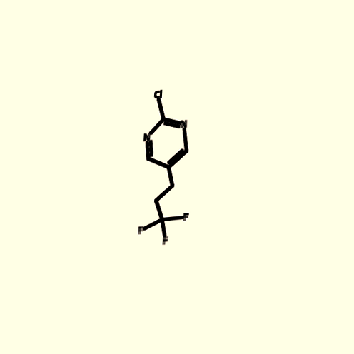 FC(F)(F)CCc1cnc(Cl)nc1